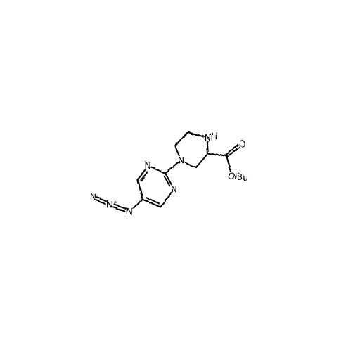 CC(C)COC(=O)C1CN(c2ncc(N=[N+]=[N-])cn2)CCN1